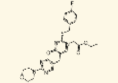 CCOC(=O)Cn1cc(Cc2cnc(N3CCOCC3)nc2)c(=O)nc1SCc1ccc(F)cc1